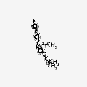 CCCCn1c(CCc2ccc(OCc3ccc(I)cc3)cc2)nc2ccc(OCCCN(CC)CC)cc21